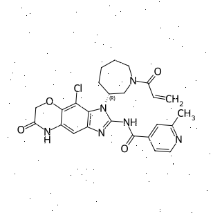 C=CC(=O)N1CCCC[C@@H](n2c(NC(=O)c3ccnc(C)c3)nc3cc4c(c(Cl)c32)OCC(=O)N4)C1